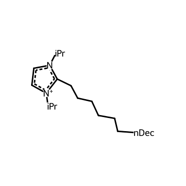 CCCCCCCCCCCCCCCCc1n(C(C)C)cc[n+]1C(C)C